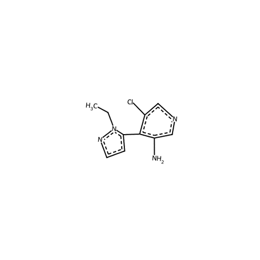 CCn1nccc1-c1c(N)cncc1Cl